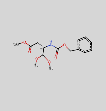 CCOC(OCC)[C@H](CC(=O)OC(C)(C)C)NC(=O)OCc1ccccc1